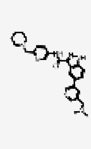 CN(C)Cc1cncc(-c2ccc3[nH]nc(C(=O)Nc4ccc(CN5CCCCC5)nc4)c3c2)c1